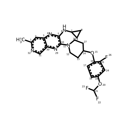 Cc1cc2nc(NC3CC3)c(N3CCC(Oc4ccc(OC(F)F)cc4F)CC3)nc2cn1